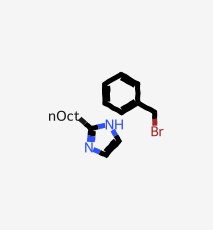 BrCc1ccccc1.CCCCCCCCc1ncc[nH]1